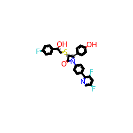 O=C1[C@H](SC[C@@H](O)c2ccc(F)cc2)[C@@H](c2ccc(O)cc2)N1c1ccc(-c2ncc(F)cc2F)cc1